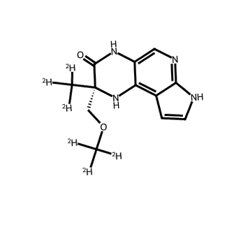 [2H]C([2H])([2H])OC[C@@]1(C([2H])([2H])[2H])Nc2c(cnc3[nH]ccc23)NC1=O